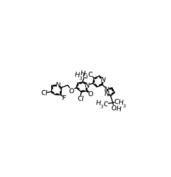 Cc1cnc(-n2ccc(C(C)(C)O)n2)cc1-n1c(C)cc(OCc2ncc(Cl)cc2F)c(Cl)c1=O